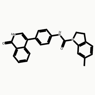 Cc1ccc2c(c1)N(C(=O)Nc1ccc(-c3c[nH]c(=O)c4ccccc34)cc1)CC2